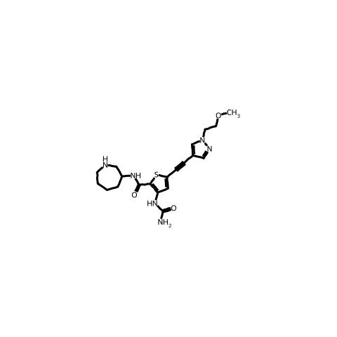 COCCn1cc(C#Cc2cc(NC(N)=O)c(C(=O)NC3CCCCNC3)s2)cn1